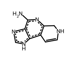 Nc1nc2c(c3[nH]cnc13)C=CNC2